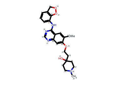 COc1cc2c(Nc3cccc4c3OOC4)ncnc2cc1OCCC1(O)CCN(C)CC1